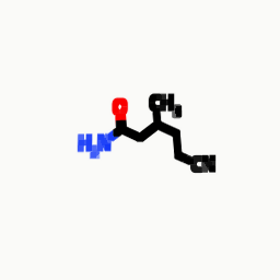 CC(CCC#N)CC(N)=O